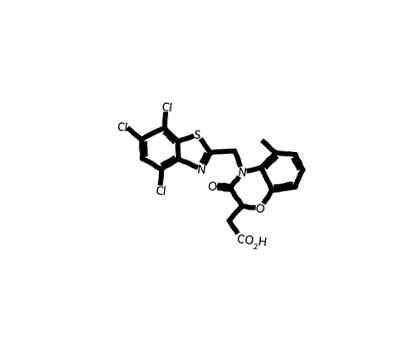 Cc1cccc2c1N(Cc1nc3c(Cl)cc(Cl)c(Cl)c3s1)C(=O)C(CC(=O)O)O2